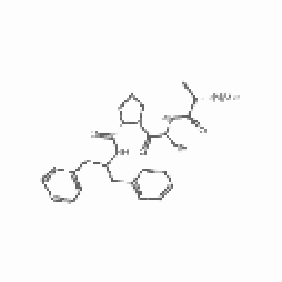 CN[C@@H](C)C(=O)N[C@H](C(=O)N1CCC[C@H]1C(=O)NC(Cc1ccccc1)Cc1ccccc1)C(C)C